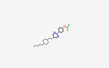 CCCCCC1CCC(CCc2cnc(-c3ccc(OC(F)F)cc3)nc2)CC1